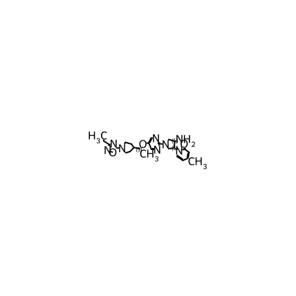 CCc1noc(N2CCC([C@H](C)Oc3cnc(N4C[C@H](N)[C@@H](n5ccc(C)cc5=O)C4)nc3)CC2)n1